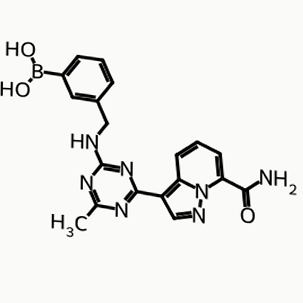 Cc1nc(NCc2cccc(B(O)O)c2)nc(-c2cnn3c(C(N)=O)cccc23)n1